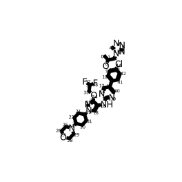 CC(Cn1cnnn1)Oc1cc(-c2cnc(Nc3cn(C4CCC(N5CCOCC5)CC4)nc3OCC(F)F)nc2)ccc1Cl